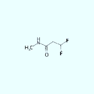 CNC(=O)CC(F)F